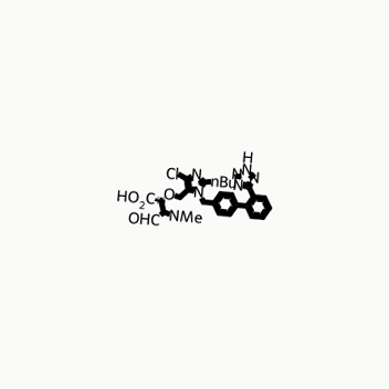 CCCCc1nc(Cl)c(CO[C@H](C(=O)O)C(C=O)NC)n1Cc1ccc(-c2ccccc2-c2nn[nH]n2)cc1